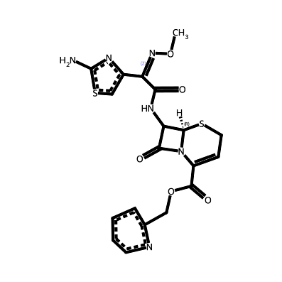 CO/N=C(\C(=O)NC1C(=O)N2C(C(=O)OCc3ccccn3)=CCS[C@H]12)c1csc(N)n1